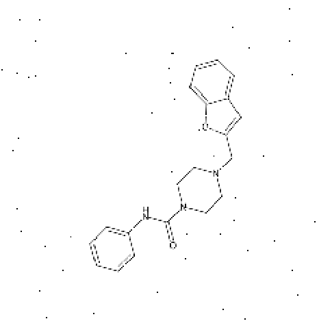 O=C(Nc1ccccc1)N1CCN(Cc2cc3ccccc3o2)CC1